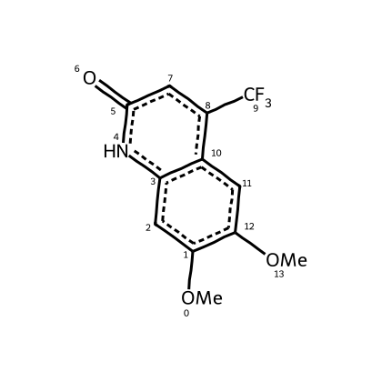 COc1cc2[nH]c(=O)cc(C(F)(F)F)c2cc1OC